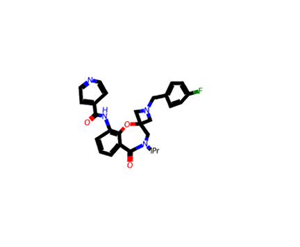 CC(C)N1CC2(CN(Cc3ccc(F)cc3)C2)Oc2c(NC(=O)c3ccncc3)cccc2C1=O